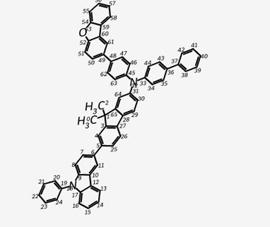 CC1(C)c2cc(-c3ccc4c(c3)c3ccccc3n4-c3ccccc3)ccc2-c2ccc(N(c3ccc(-c4ccccc4)cc3)c3ccc(-c4ccc5oc6ccccc6c5c4)cc3)cc21